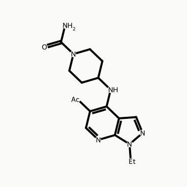 CCn1ncc2c(NC3CCN(C(N)=O)CC3)c(C(C)=O)cnc21